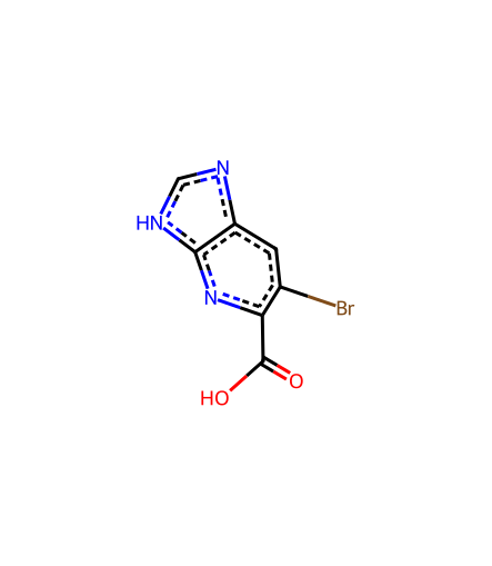 O=C(O)c1nc2[nH]cnc2cc1Br